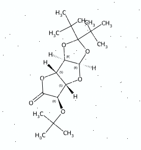 CC(C)(C)O[C@H]1C(=O)O[C@@H]2[C@H]3OC(C(C)(C)C)(C(C)(C)C)O[C@H]3O[C@@H]21